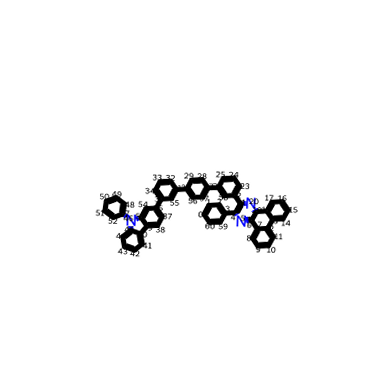 c1ccc(-c2nc3c4ccccc4c4ccccc4c3nc2-c2cccc(-c3ccc(-c4cccc(-c5ccc6c7ccccc7n(-c7ccccc7)c6c5)c4)cc3)c2)cc1